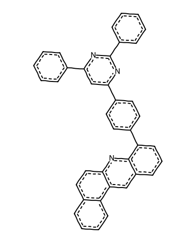 c1ccc(-c2cc(-c3ccc(-c4cccc5cc6c(ccc7ccccc76)nc45)cc3)nc(-c3ccccc3)n2)cc1